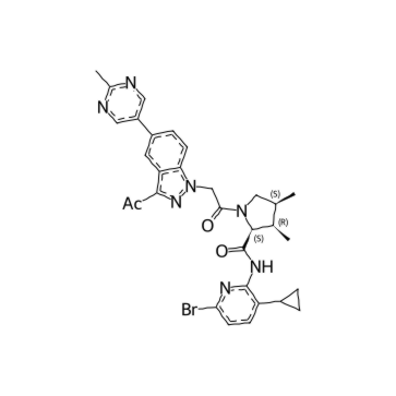 CC(=O)c1nn(CC(=O)N2C[C@@H](C)[C@@H](C)[C@H]2C(=O)Nc2nc(Br)ccc2C2CC2)c2ccc(-c3cnc(C)nc3)cc12